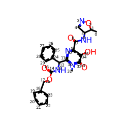 CC1ON=CC1NC(=O)c1nc(C(NC(=O)OCc2ccccc2)c2ccccc2)n(C)c(=O)c1O